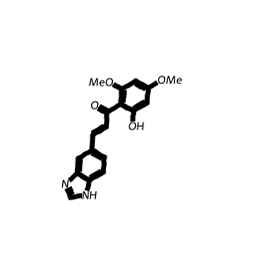 COc1cc(O)c(C(=O)C=Cc2ccc3[nH]cnc3c2)c(OC)c1